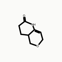 O=C1CCC2COCC=C2N1